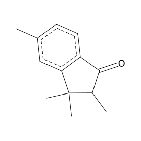 Cc1ccc2c(c1)C(C)(C)C(C)C2=O